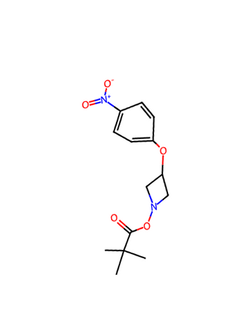 CC(C)(C)C(=O)ON1CC(Oc2ccc([N+](=O)[O-])cc2)C1